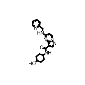 O=C(NC1CCC(O)CC1)c1cnn2ccc(NCc3ccccn3)nc12